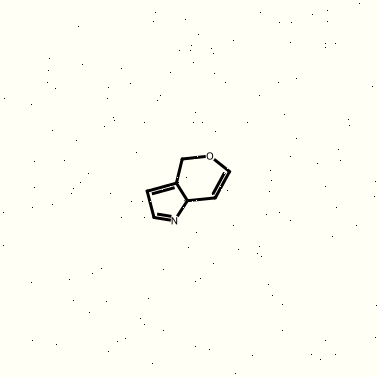 C1=C[C]2N=CC=C2CO1